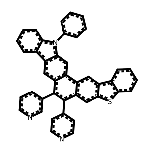 c1ccc(-n2c3ccccc3c3cc4c(-c5cccnc5)c(-c5ccncc5)c5cc6sc7ccccc7c6cc5c4cc32)cc1